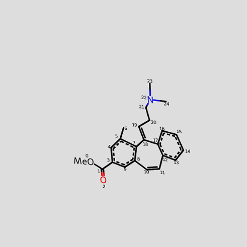 COC(=O)c1cc(C)c2c(c1)C=Cc1ccccc1/C2=C\CCN(C)C